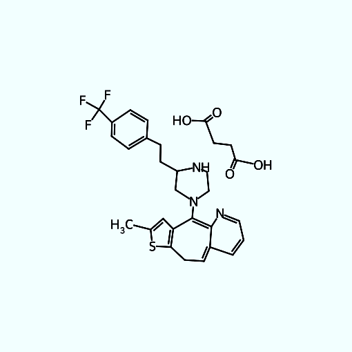 Cc1cc2c(s1)CC=c1cccnc1=C2N1CCNC(CCc2ccc(C(F)(F)F)cc2)C1.O=C(O)CCC(=O)O